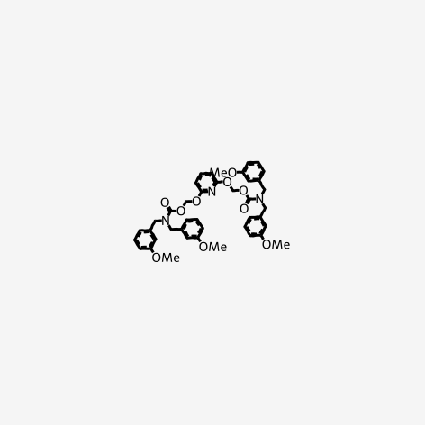 COc1cccc(CN(Cc2cccc(OC)c2)C(=O)OCOc2cccc(OCOC(=O)N(Cc3cccc(OC)c3)Cc3cccc(OC)c3)n2)c1